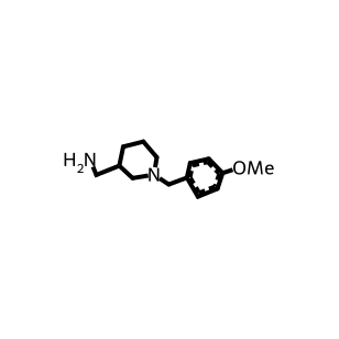 COc1ccc(CN2CCCC(CN)C2)cc1